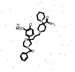 Cl.Cl.NC(=O)C1(N2CCCCC2)CCN(CCCC2(c3ccc(Cl)c(Cl)c3)CN(C(=O)c3ccccc3)CCO2)CC1